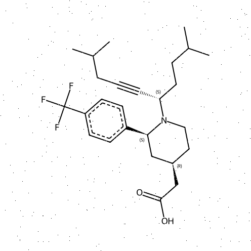 CC(C)CC#C[C@H](CCC(C)C)N1CC[C@@H](CC(=O)O)C[C@H]1c1ccc(C(F)(F)F)cc1